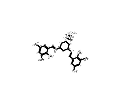 CC(=O)[O-].CC(=O)[O-].CCCc1cc(C=NC2CCCC(N=Cc3cc(CCC)cc(C(C)C)c3O)C2)c(O)c(C(C)C)c1.[Co+2]